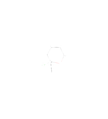 C[Si]1(Cl)CCCCO1